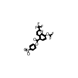 O=C(Oc1ccc([N+](=O)[O-])cc1)c1ccc(OC(F)F)c2nc(C(F)(F)F)ccc12